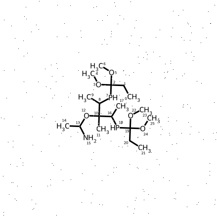 CCC(OC)(OC)PC(C)C(C)(OC(C)N)C(C)PC(CC)(OC)OC